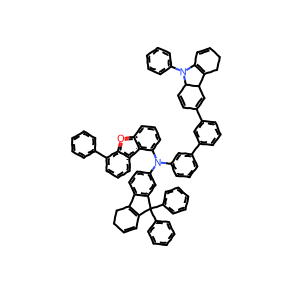 C1=CC2=C(CC1)c1ccc(N(c3cccc(-c4cccc(C5=CC6C7=C(C=CCC7)N(c7ccccc7)C6C=C5)c4)c3)c3cccc4oc5c(-c6ccccc6)cccc5c34)cc1C2(c1ccccc1)c1ccccc1